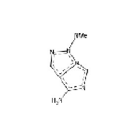 CNn1ncc2c(N)ncn21